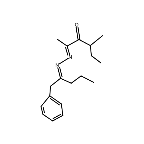 CCC/C(Cc1ccccc1)=N\N=C(/C)C(=O)C(C)CC